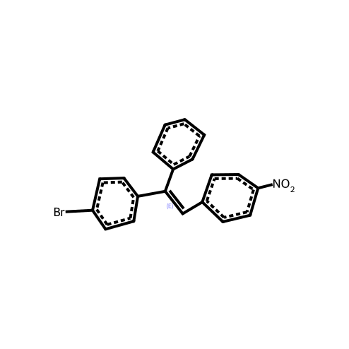 O=[N+]([O-])c1ccc(/C=C(\c2ccccc2)c2ccc(Br)cc2)cc1